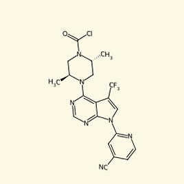 C[C@@H]1CN(c2ncnc3c2c(C(F)(F)F)cn3-c2cc(C#N)ccn2)[C@@H](C)CN1C(=O)Cl